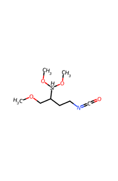 COCC(CCN=C=O)[SiH](OC)OC